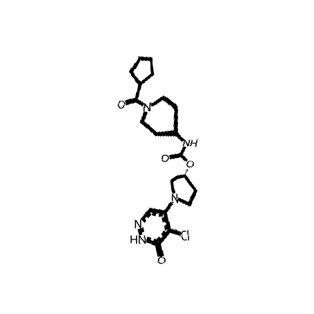 O=C(NC1CCN(C(=O)C2CCCC2)CC1)O[C@@H]1CCN(c2cn[nH]c(=O)c2Cl)C1